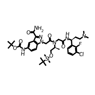 C[C@@H](CO[Si](C)(C)C(C)(C)C)N(CC(=O)N[C@@H](CCN(C)C)c1cccc(Cl)c1F)C(=O)Cn1nc(C(N)=O)c2cc(NC(=O)OC(C)(C)C)ccc21